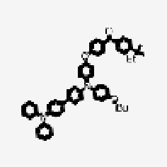 CCC(C)Oc1ccc(N(c2ccc(Oc3ccc(C(=O)c4ccc(C(C)(C)CC)cc4)cc3)cc2)c2ccc(-c3ccc(N(c4ccccc4)c4ccccc4)cc3)cc2)cc1